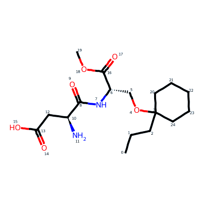 CCCC1(OC[C@H](NC(=O)[C@@H](N)CC(=O)O)C(=O)OC)CCCCC1